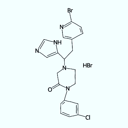 Br.O=C1CN(C(Cc2ccc(Br)nc2)c2cnc[nH]2)CCN1c1cccc(Cl)c1